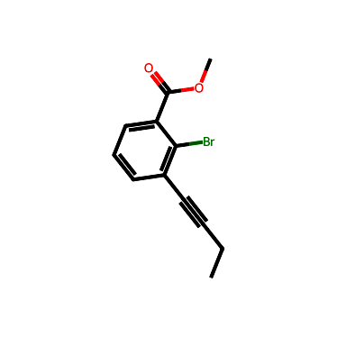 CCC#Cc1cccc(C(=O)OC)c1Br